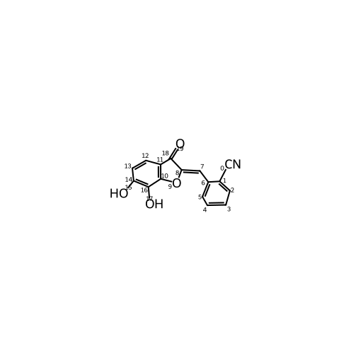 N#Cc1ccccc1C=C1Oc2c(ccc(O)c2O)C1=O